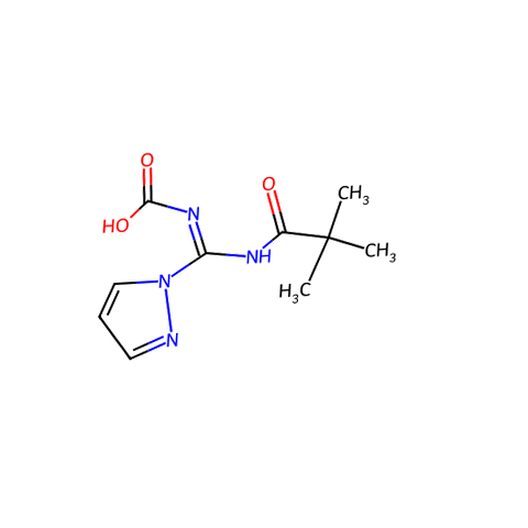 CC(C)(C)C(=O)NC(=NC(=O)O)n1cccn1